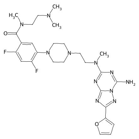 CN(C)CCN(C)C(=O)c1cc(N2CCN(CCN(C)c3nc(N)n4nc(-c5ccco5)nc4n3)CC2)c(F)cc1F